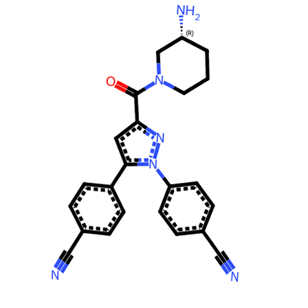 N#Cc1ccc(-c2cc(C(=O)N3CCC[C@@H](N)C3)nn2-c2ccc(C#N)cc2)cc1